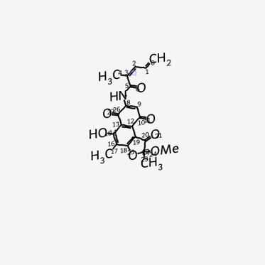 C=C/C=C(/C)C(=O)NC1=CC(=O)c2c(c(O)c(C)c3c2C(=O)[C@@](C)(OC)O3)C1=O